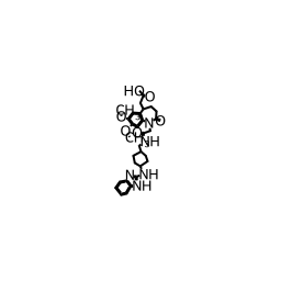 COc1cc2c(cc1OC)N(CC(=O)NCC1CCC(Nc3nc4ccccc4[nH]3)CC1)C(=O)CCC2CC(=O)O